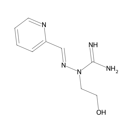 N=C(N)N(CCO)N=Cc1ccccn1